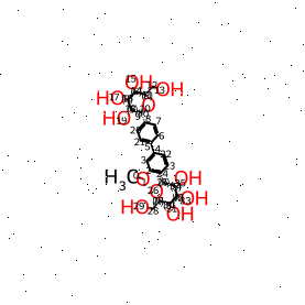 COc1cc(-c2ccc([C@H]3O[C@H](CO)[C@@H](O)[C@H](O)[C@@H]3O)cc2)ccc1[C@H]1O[C@H](CO)[C@@H](O)[C@H](O)[C@@H]1O